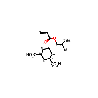 C=CC(=O)OCC(CC)CCCC.O=C(O)C1CCCC(C(=O)O)C1